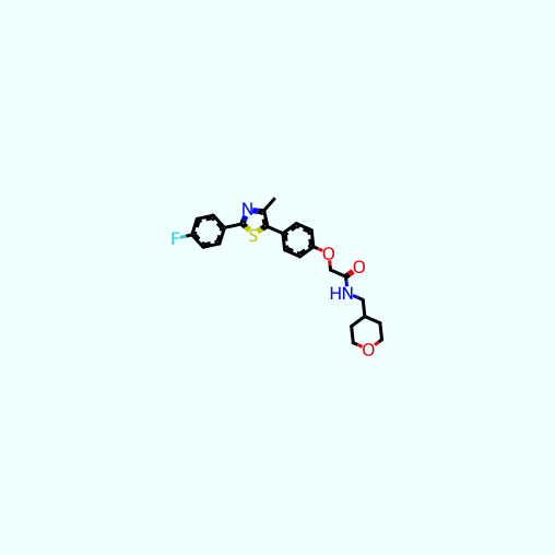 Cc1nc(-c2ccc(F)cc2)sc1-c1ccc(OCC(=O)NCC2CCOCC2)cc1